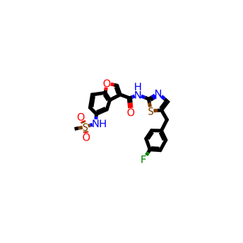 CS(=O)(=O)Nc1ccc2occ(C(=O)Nc3ncc(Cc4ccc(F)cc4)s3)c2c1